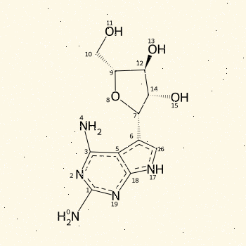 Nc1nc(N)c2c([C@@H]3O[C@H](CO)[C@@H](O)[C@@H]3O)c[nH]c2n1